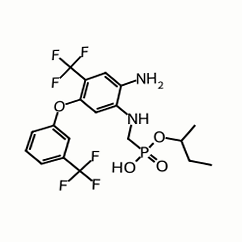 CCC(C)OP(=O)(O)CNc1cc(Oc2cccc(C(F)(F)F)c2)c(C(F)(F)F)cc1N